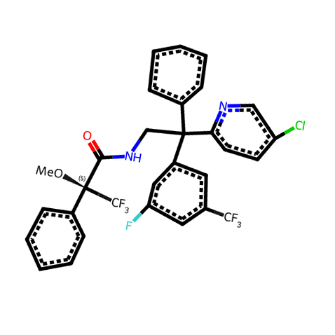 CO[C@](C(=O)NCC(c1ccccc1)(c1cc(F)cc(C(F)(F)F)c1)c1ccc(Cl)cn1)(c1ccccc1)C(F)(F)F